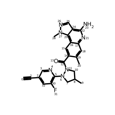 C#Cc1cnc(N2CC(C)CN2C(=O)c2cc3c(cc2C)nc(N)c2cnn(C)c23)c(F)c1